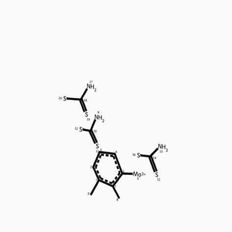 Cc1ccc[c]([Mo+3])c1C.NC(=S)[S-].NC(=S)[S-].NC(=S)[S-]